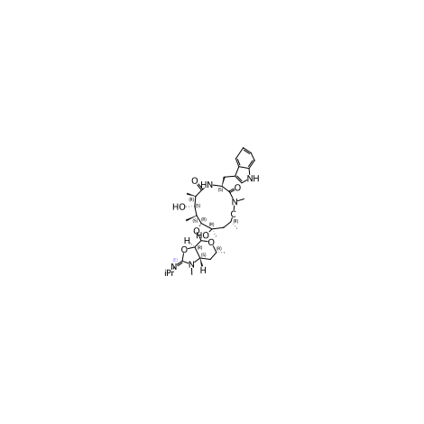 CC(C)/N=C1/O[C@H]2C(O[C@@H]3[C@@H](C)[C@H](O)[C@@H](C)C(=O)N[C@@H](Cc4c[nH]c5ccccc45)C(=O)N(C)C[C@H](C)C[C@@]3(C)O)O[C@H](C)C[C@@H]2N1C